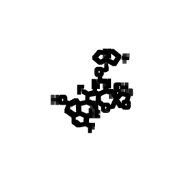 CCc1c(F)ccc2cc(O)cc(-c3nc4c5c(nc(OC[C@@]67CCCN6C[C@H](F)C7)nc5c3F)N(C)C3(CCOC3)CO4)c12